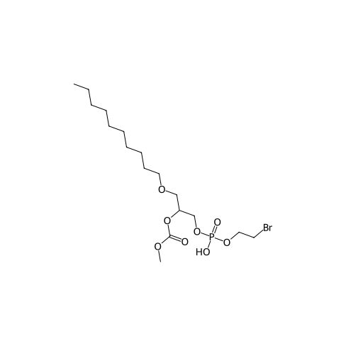 CCCCCCCCCCOCC(COP(=O)(O)OCCBr)OC(=O)OC